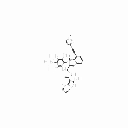 Bc1c(B)c(B)c(-n2c([C@@H](C)NC(=O)c3c(N)nn4cccnc34)cc3cccc(C#Cc4ccn(C)n4)c3c2=O)c(B)c1B